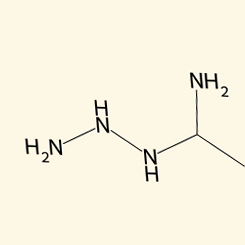 CC(N)NNN